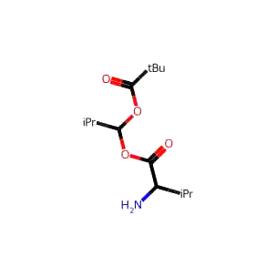 CC(C)C(OC(=O)C(N)C(C)C)OC(=O)C(C)(C)C